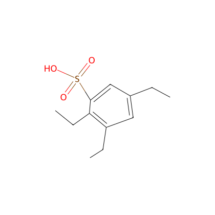 CCc1cc(CC)c(CC)c(S(=O)(=O)O)c1